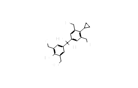 CC(C)(c1cc(CO)c(O)c(CO)c1)c1cc(CO)c(C2CC2)c(CO)c1